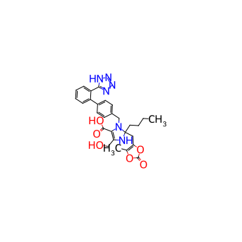 CCCCC1(Cc2oc(=O)oc2C)NC(CO)=C(C(=O)O)N1Cc1ccc(-c2ccccc2-c2nnn[nH]2)cc1